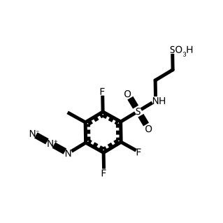 Cc1c(F)c(S(=O)(=O)NCCS(=O)(=O)O)c(F)c(F)c1N=[N+]=[N-]